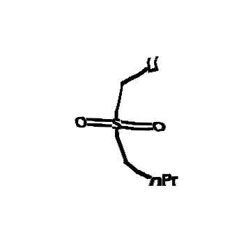 [Li][CH2]S(=O)(=O)CCCC